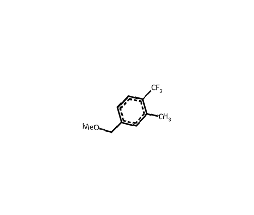 COCc1ccc(C(F)(F)F)c(C)c1